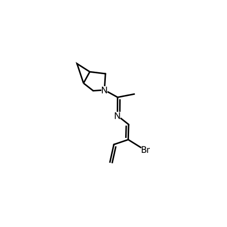 C=C/C(Br)=C\N=C(/C)N1CC2CC2C1